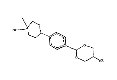 CCCCC1COC(c2ccc(C3CCC(C)(CCC)CC3)cc2)OC1